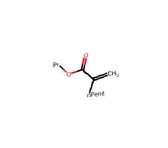 C=C(CCCCC)C(=O)OC(C)C